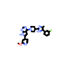 COc1cc(-c2cc3c(N4CCC(c5nc(C)c(-c6cccc(F)c6)[nH]5)CC4)ncnc3[nH]2)ccn1